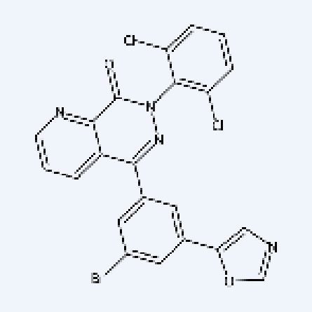 O=c1c2ncccc2c(-c2cc(Br)cc(-c3cnco3)c2)nn1-c1c(Cl)cccc1Cl